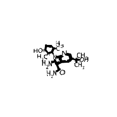 CC1=C(n2c(N)c(C(N)=O)c3cc(C(C)(C)O)cnc32)[C@H](C)[C@H](O)C=C1